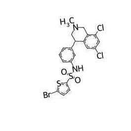 CN1Cc2c(Cl)cc(Cl)cc2C(c2cccc(NS(=O)(=O)c3ccc(Br)s3)c2)C1